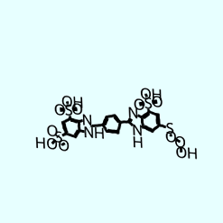 O=S(=O)(O)c1cc(S(=O)(=O)O)c2nc(-c3ccc(-c4nc5c(S(=O)(=O)O)cc(SOOO)cc5[nH]4)cc3)[nH]c2c1